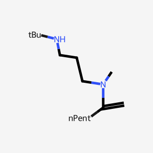 C=C(CCCCC)N(C)CCCNC(C)(C)C